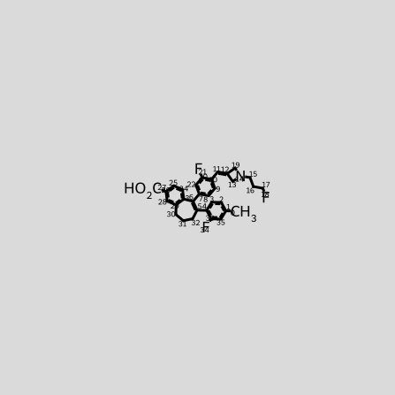 Cc1ccc(C2=C(c3ccc(C=C4CN(CCCF)C4)c(F)c3)c3ccc(C(=O)O)cc3CCC2)c(F)c1